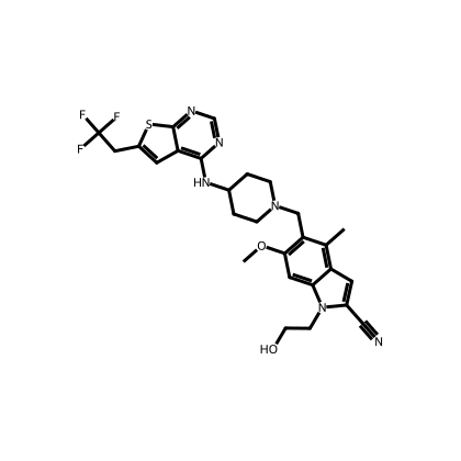 COc1cc2c(cc(C#N)n2CCO)c(C)c1CN1CCC(Nc2ncnc3sc(CC(F)(F)F)cc23)CC1